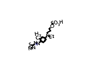 CCN(CCCOS(=O)(=O)O)c1ccc(/N=N/c2nncs2)c(C)c1